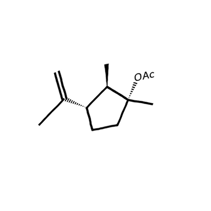 C=C(C)[C@H]1CC[C@@](C)(OC(C)=O)[C@@H]1C